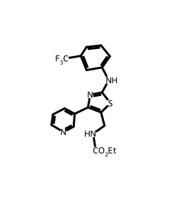 CCOC(=O)NCc1sc(Nc2cccc(C(F)(F)F)c2)nc1-c1cccnc1